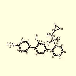 Nc1ncc(-c2ccc(-c3ccccc3S(=O)(=O)NC3CC3)cc2F)cn1